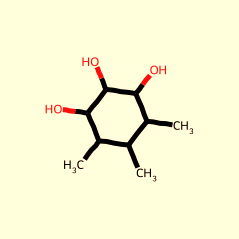 CC1C(C)C(O)C(O)C(O)C1C